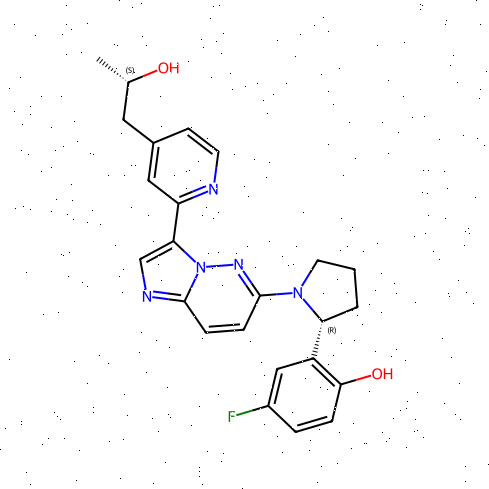 C[C@H](O)Cc1ccnc(-c2cnc3ccc(N4CCC[C@@H]4c4cc(F)ccc4O)nn23)c1